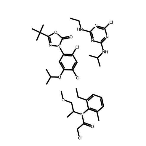 CC(C)Oc1cc(-n2nc(C(C)(C)C)oc2=O)c(Cl)cc1Cl.CCNc1nc(Cl)nc(NC(C)C)n1.CCc1cccc(C)c1N(C(=O)CCl)C(C)COC